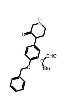 CC(C)(C)OC=O.O=C1CNCCC1c1ccc(OCc2ccccc2)cc1